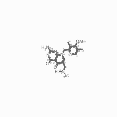 CCN(CC)Cc1cn(Cc2ncc(C)c(OC)c2C)c2nc(N)nc(Cl)c2c1=O